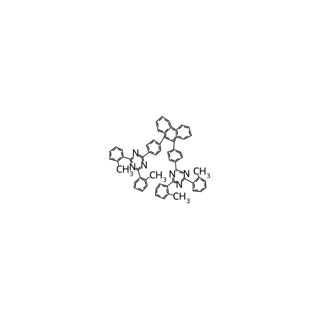 Cc1ccccc1-c1nc(-c2ccc(-c3c(-c4ccc(-c5nc(-c6ccccc6C)nc(-c6ccccc6C)n5)cc4)c4ccccc4c4ccccc34)cc2)nc(-c2ccccc2C)n1